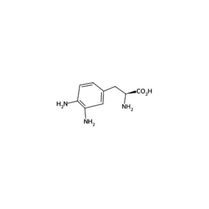 Nc1ccc(C[C@H](N)C(=O)O)cc1N